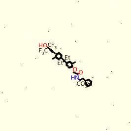 CCC(CC)(c1ccc(C#CC(O)(C(F)(F)F)C(F)(F)F)c(C)c1)c1ccc(OCC(=O)NC(Cc2ccccc2)C(=O)O)c(C)c1